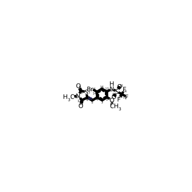 COc1cc(/C=C2\SC(=O)N(C)C2=O)c(Br)cc1NS(=O)(=O)C(F)(F)F